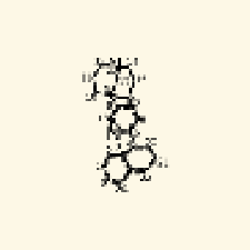 c1ccc2c(-c3ccc(C45CCCN(CCC4)C5)cn3)cccc2c1